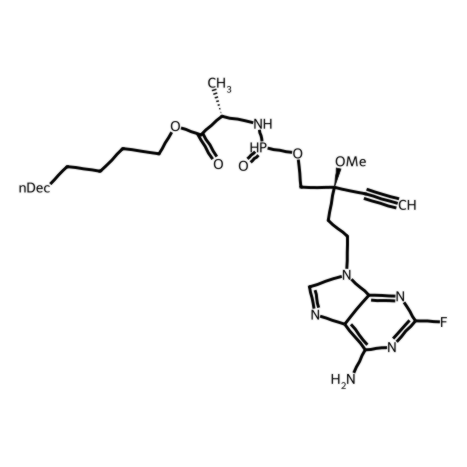 C#C[C@](CCn1cnc2c(N)nc(F)nc21)(CO[PH](=O)N[C@@H](C)C(=O)OCCCCCCCCCCCCCC)OC